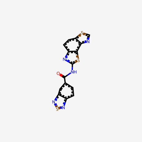 O=C(Nc1nc2ccc3scnc3c2s1)c1ccc2nsnc2c1